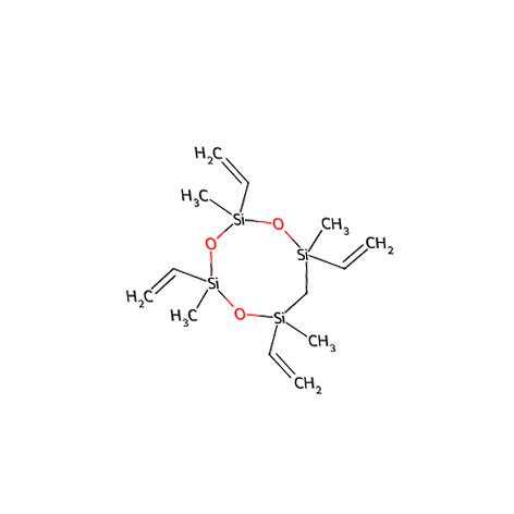 C=C[Si]1(C)C[Si](C)(C=C)O[Si](C)(C=C)O[Si](C)(C=C)O1